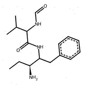 CC[C@H](N)C(Cc1ccccc1)NC(=O)C(NC=O)C(C)C